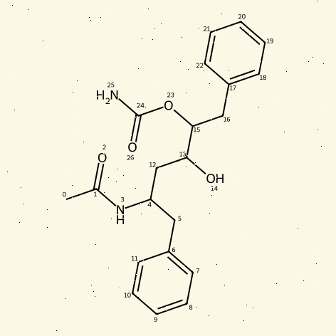 CC(=O)NC(Cc1ccccc1)CC(O)C(Cc1ccccc1)OC(N)=O